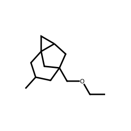 CCOCC12CC(C)CC3(CC3C1)C2